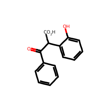 O=C(O)C(C(=O)c1ccccc1)c1ccccc1O